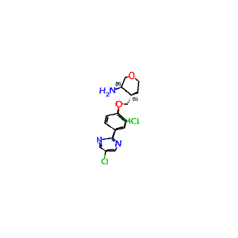 Cl.N[C@H]1COCC[C@@H]1COc1ccc(-c2ncc(Cl)cn2)cc1